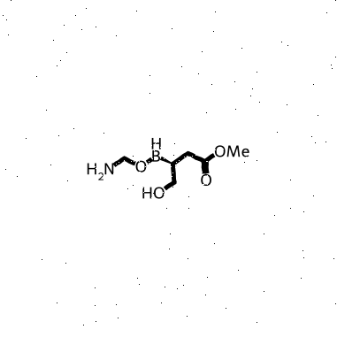 COC(=O)C[C@H](BOCN)CO